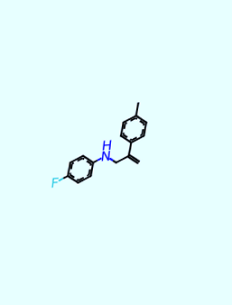 C=C(CNc1ccc(F)cc1)c1ccc(C)cc1